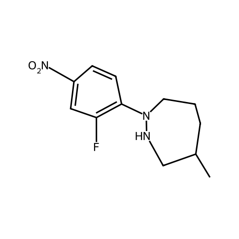 CC1CCCN(c2ccc([N+](=O)[O-])cc2F)NC1